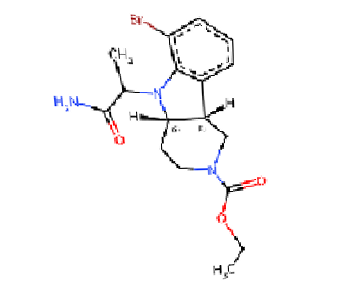 CCOC(=O)N1CC[C@H]2[C@@H](C1)c1cccc(Br)c1N2C(C)C(N)=O